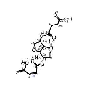 C=C(O)/C=C\C(=O)O[C@H]1CO[C@H]2[C@@H]1OC[C@H]2OC(=O)CCC(=O)O